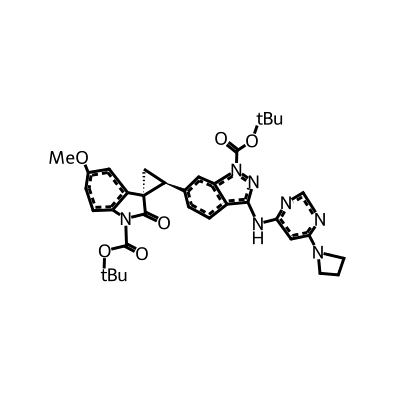 COc1ccc2c(c1)[C@]1(C[C@H]1c1ccc3c(Nc4cc(N5CCC5)ncn4)nn(C(=O)OC(C)(C)C)c3c1)C(=O)N2C(=O)OC(C)(C)C